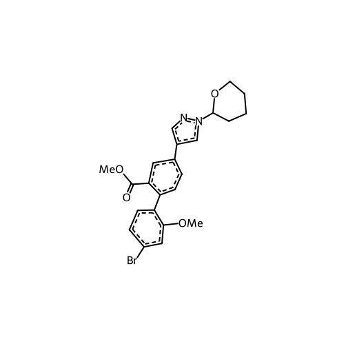 COC(=O)c1cc(-c2cnn(C3CCCCO3)c2)ccc1-c1ccc(Br)cc1OC